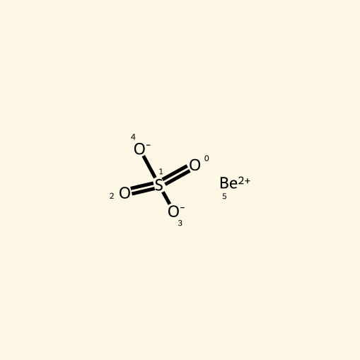 O=S(=O)([O-])[O-].[Be+2]